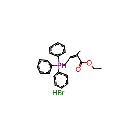 Br.CCOC(=O)C(C)=CC[PH](c1ccccc1)(c1ccccc1)c1ccccc1